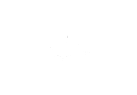 O=C(O)C1=CCCCCC1.[AlH3]